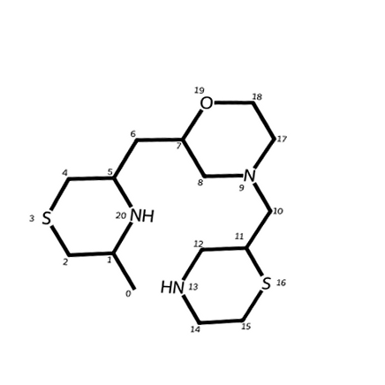 CC1CSCC(CC2CN(CC3CNCCS3)CCO2)N1